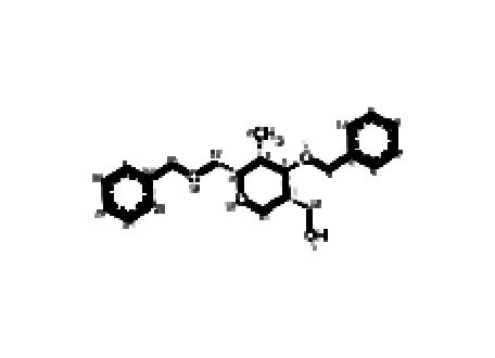 C[C@@H]1[C@H](OCc2ccccc2)[C@H](CO)CO[C@@H]1COCc1ccccc1